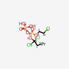 CC(C)CC(Cl)(Cl)OP(=O)(OCCCl)OP(=O)(O)O